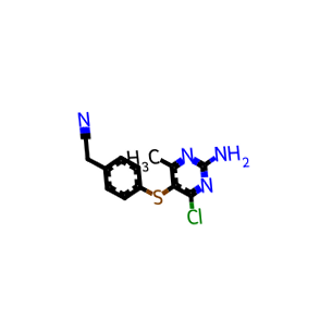 Cc1nc(N)nc(Cl)c1Sc1ccc(CC#N)cc1